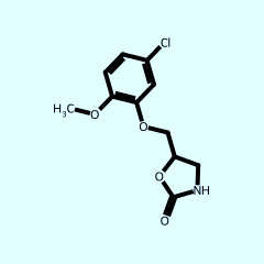 COc1ccc(Cl)cc1OCC1CNC(=O)O1